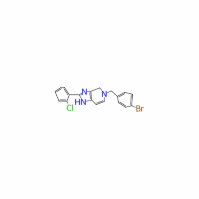 Clc1ccccc1-c1nc2c([nH]1)C=CN(Cc1ccc(Br)cc1)C2